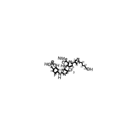 CNC(=O)c1nc(-c2cnn(CCCCO)c2)ccc1Nc1nc(Nc2ccc(CP(=O)(O)O)cc2F)ncc1C(F)(F)F